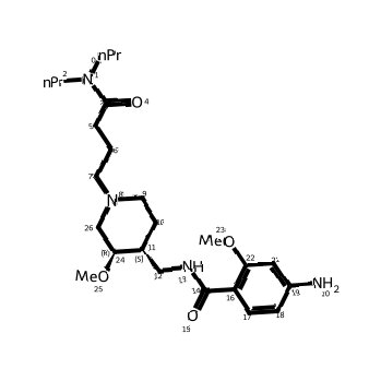 CCCN(CCC)C(=O)CCCN1CC[C@@H](CNC(=O)c2ccc(N)cc2OC)[C@@H](OC)C1